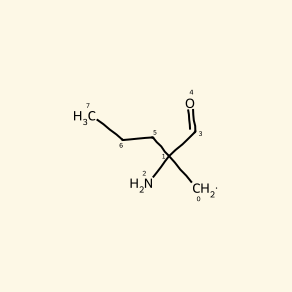 [CH2]C(N)(C=O)CCC